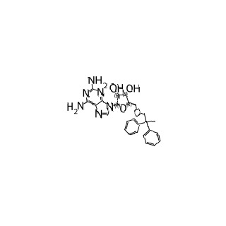 CC(COC[C@H]1O[C@@H](n2cnc3c(N)nc(N)nc32)[C@H](O)[C@@H]1O)(c1ccccc1)c1ccccc1